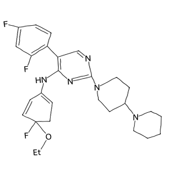 CCOC1(F)C=CC(Nc2nc(N3CCC(N4CCCCC4)CC3)ncc2-c2ccc(F)cc2F)=CC1